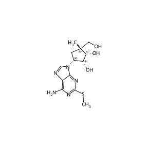 CSc1nc(N)c2ncn([C@@H]3C[C@](C)(CO)[C@H](O)[C@@H]3O)c2n1